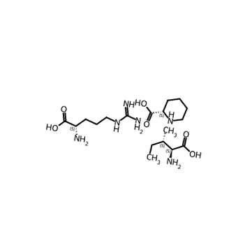 CC[C@H](C)[C@H](N)C(=O)O.N=C(N)NCCC[C@H](N)C(=O)O.O=C(O)[C@@H]1CCCCN1